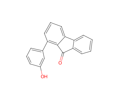 O=C1c2ccccc2-c2cccc(-c3cccc(O)c3)c21